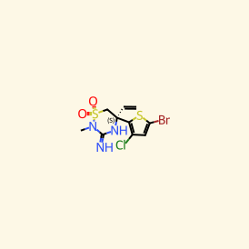 C=C[C@@]1(c2sc(Br)cc2Cl)CS(=O)(=O)N(C)C(=N)N1